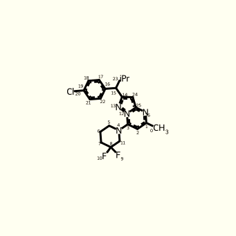 Cc1cc(N2CCCC(F)(F)C2)n2nc(C(c3ccc(Cl)cc3)C(C)C)cc2n1